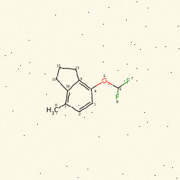 Cc1ccc(OC(F)F)c2c1CCC2